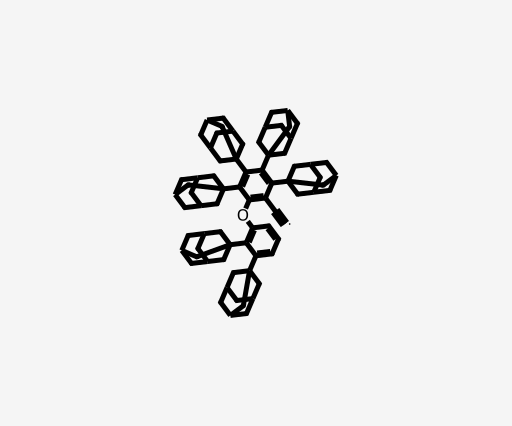 [C]#Cc1c(Oc2cccc(C34CC5CC(CC(C5)C3)C4)c2C23CC4CC(CC(C4)C2)C3)c(C23CC4CC(CC(C4)C2)C3)c(C23CC4CC(CC(C4)C2)C3)c(C23CC4CC(CC(C4)C2)C3)c1C12CC3CC(CC(C3)C1)C2